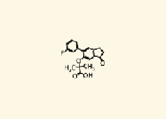 CC(C)(Oc1cc2c(cc1-c1cccc(F)c1)CCC2=O)C(=O)O